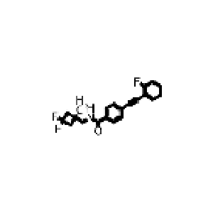 CC1(CNC(=O)c2ccc(C#CC3=CCCCC3F)cc2)CC(F)(F)C1